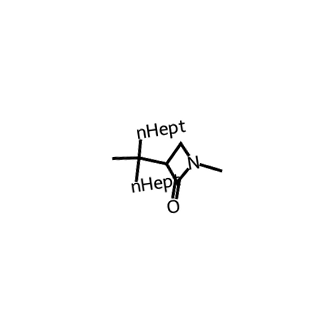 CCCCCCCC(C)(CCCCCCC)C1CN(C)C1=O